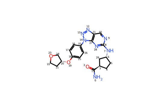 NC(=O)[C@@H]1CC[C@@H](Nc2ncc3nnn(-c4ccc(O[C@@H]5CCOC5)cc4)c3n2)C1